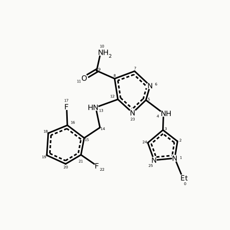 CCn1cc(Nc2ncc(C(N)=O)c(NCc3c(F)cccc3F)n2)cn1